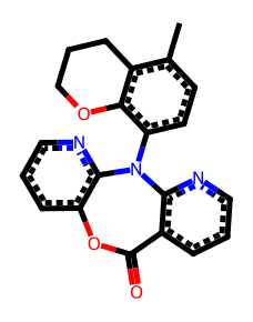 Cc1ccc(N2c3ncccc3OC(=O)c3cccnc32)c2c1CCCO2